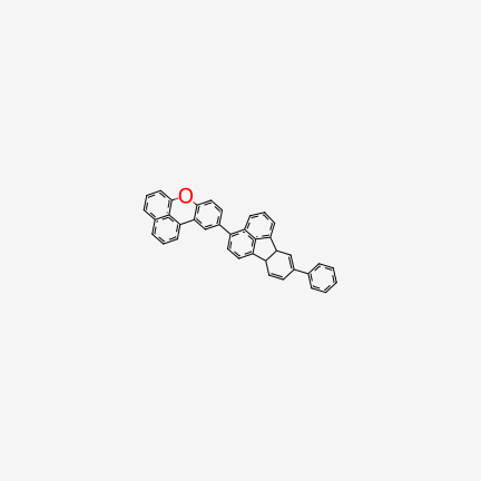 C1=CC2c3ccc(-c4ccc5c(c4)-c4cccc6cccc(c46)O5)c4cccc(c34)C2C=C1c1ccccc1